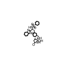 Cc1cc(C[C@H](NS(=O)(=O)c2ccccc2)c2nc3ccccc3[nH]2)ccc1[C@H]1CC(=O)NS1(O)O